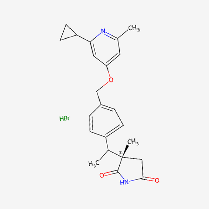 Br.Cc1cc(OCc2ccc(C(C)[C@]3(C)CC(=O)NC3=O)cc2)cc(C2CC2)n1